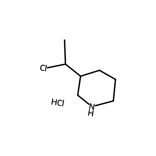 CC(Cl)C1CCCNC1.Cl